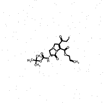 C=CCOC(=O)C1=C(C(=O)CF)CN2C[C@@H](NC(=O)OC(C)(C)C)C(=O)N12